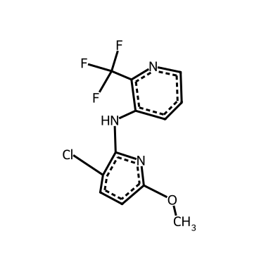 COc1ccc(Cl)c(Nc2cccnc2C(F)(F)F)n1